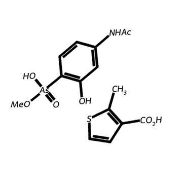 CO[As](=O)(O)c1ccc(NC(C)=O)cc1O.Cc1sccc1C(=O)O